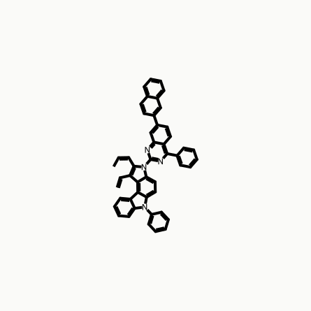 C=Cc1c(/C=C\C)n(-c2nc(-c3ccccc3)c3ccc(-c4ccc5ccccc5c4)cc3n2)c2ccc3c(c4ccccc4n3-c3ccccc3)c12